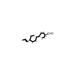 C/C=C/[C@H]1CC[C@H]([C@H]2CC[C@H](C=O)CC2)CC1